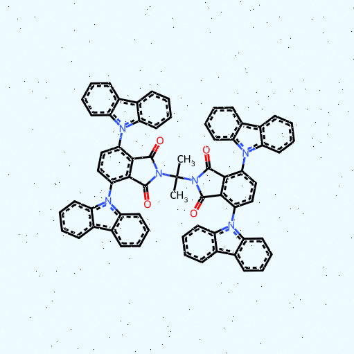 CC(C)(N1C(=O)c2c(-n3c4ccccc4c4ccccc43)ccc(-n3c4ccccc4c4ccccc43)c2C1=O)N1C(=O)c2c(-n3c4ccccc4c4ccccc43)ccc(-n3c4ccccc4c4ccccc43)c2C1=O